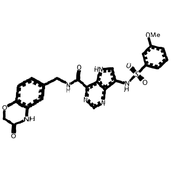 COc1cccc(S(=O)(=O)Nc2c[nH]c3c(C(=O)NCc4ccc5c(c4)NC(=O)CO5)ncnc23)c1